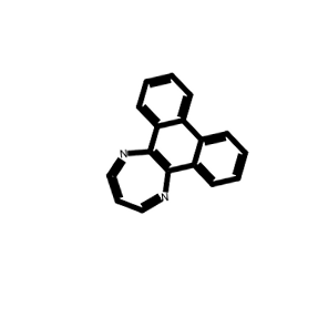 C1=CC=Nc2c(c3ccccc3c3ccccc23)N=1